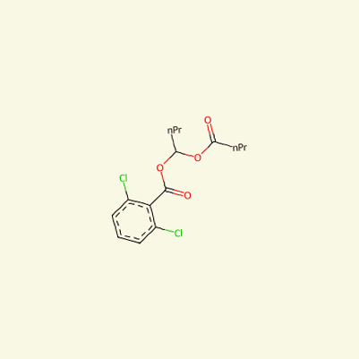 CCCC(=O)OC(CCC)OC(=O)c1c(Cl)cccc1Cl